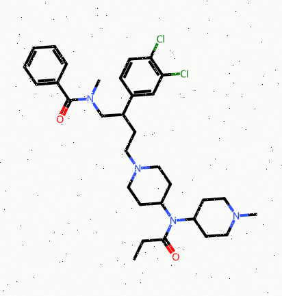 CCC(=O)N(C1CCN(C)CC1)C1CCN(CCC(CN(C)C(=O)c2ccccc2)c2ccc(Cl)c(Cl)c2)CC1